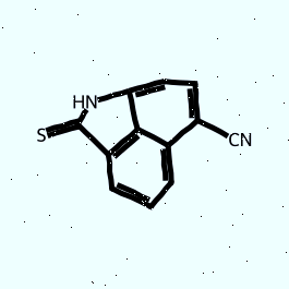 N#Cc1ccc2c3c(cccc13)C(=S)N2